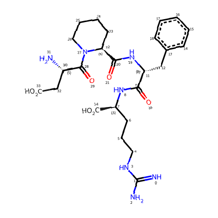 N=C(N)NCCC[C@H](NC(=O)[C@@H](Cc1ccccc1)NC(=O)[C@@H]1CCCCN1C(=O)[C@@H](N)CC(=O)O)C(=O)O